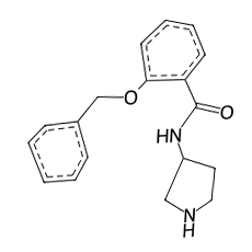 O=C(NC1CCNC1)c1ccccc1OCc1ccccc1